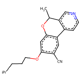 CC(C)CCCOc1cc2c(cc1C#N)-c1ccncc1C(C)O2